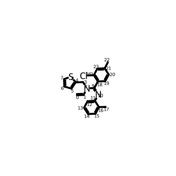 C=CN(Cc1cccs1)/C(=N\c1ccccc1C)c1ccc(C)cc1Cl